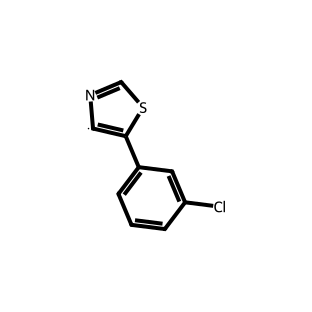 Clc1cccc(-c2[c]ncs2)c1